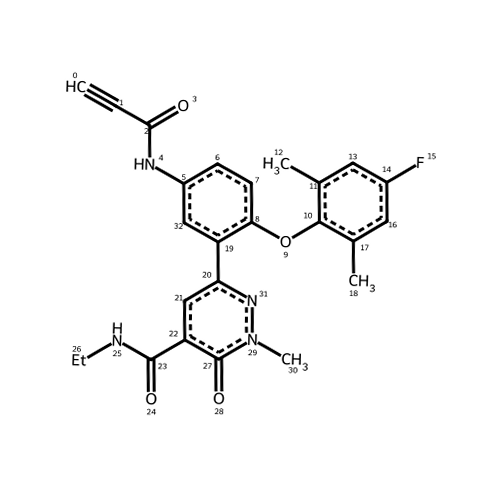 C#CC(=O)Nc1ccc(Oc2c(C)cc(F)cc2C)c(-c2cc(C(=O)NCC)c(=O)n(C)n2)c1